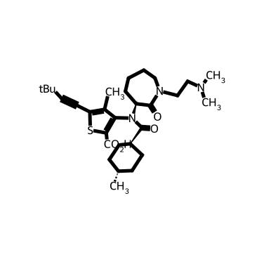 Cc1c(C#CC(C)(C)C)sc(C(=O)O)c1N(C(=O)[C@H]1CC[C@H](C)CC1)[C@H]1CCCCN(CCN(C)C)C1=O